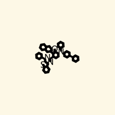 c1ccc(-c2ccc(N(c3ccccc3)c3ccc(-c4nc(-c5ccccc5)c5sc6ccccc6c5n4)c4c3oc3cc5ccccc5cc34)cc2)cc1